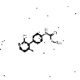 Cc1ccnc(Cl)c1-c1ccc(NC(=O)OC(C)(C)C)cc1